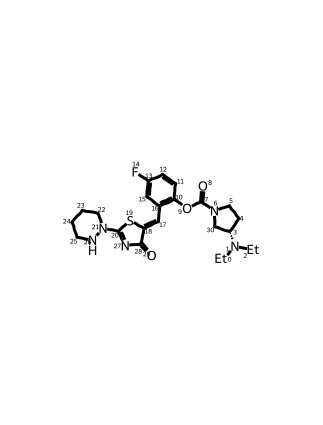 CCN(CC)[C@H]1CCN(C(=O)Oc2ccc(F)cc2/C=C2\SC(N3CCCCN3)=NC2=O)C1